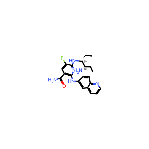 CC[C@H](N)[C@@H](CC)Nc1nc(Nc2ccc3ncccc3c2)c(C(N)=O)cc1F